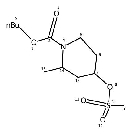 CCCCOC(=O)N1CCC(OS(C)(=O)=O)CC1C